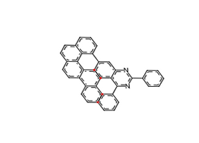 c1ccc(-c2nc(-c3ccccc3)c3ccc(-c4cccc5ccc6ccc7c8ccccc8ccc7c6c45)cc3n2)cc1